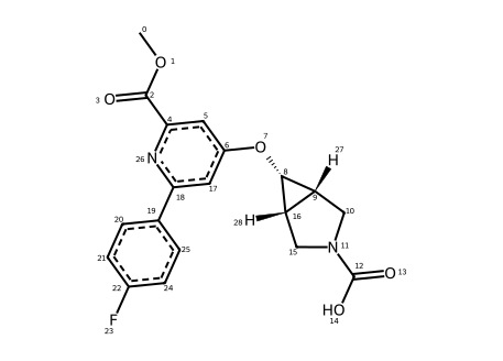 COC(=O)c1cc(O[C@@H]2[C@@H]3CN(C(=O)O)C[C@@H]32)cc(-c2ccc(F)cc2)n1